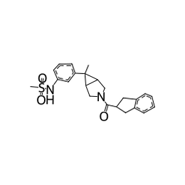 CC1(c2cccc(NS(C)(=O)=O)c2)C2CN(C(=O)C3Cc4ccccc4C3)CC21